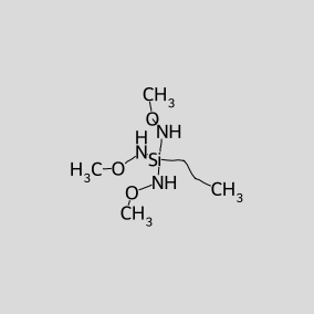 CCC[Si](NOC)(NOC)NOC